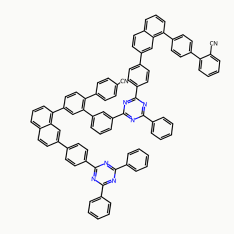 N#Cc1ccc(-c2ccc(-c3cccc4ccc(-c5ccc(-c6nc(-c7ccccc7)nc(-c7ccccc7)n6)cc5)cc34)cc2-c2cccc(-c3nc(-c4ccccc4)nc(-c4ccc(-c5ccc6cccc(-c7ccc(-c8ccccc8C#N)cc7)c6c5)cc4)n3)c2)cc1